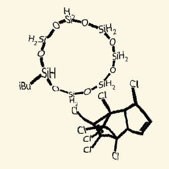 CCC(C)[SiH]1O[SiH2]O[SiH2]O[SiH2]O[SiH2]O[SiH2]O[SiH2]O1.ClC1=C(Cl)C2(Cl)C3C(Cl)C=CC3C1(Cl)C2(Cl)Cl